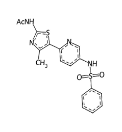 CC(=O)Nc1nc(C)c(-c2ccc(NS(=O)(=O)c3ccccc3)cn2)s1